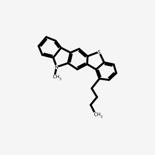 CCCCc1cccc2sc3cc4c5ccccc5n(C)c4cc3c12